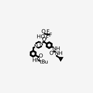 CC(C)(C)NC(=O)c1cccc(CN2CCN(C(=O)c3ccc(NC(=O)NCC4CC4)cc3)CC2)c1.O=C(O)C(F)(F)F